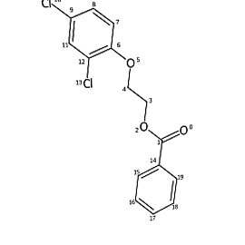 O=C(OCCOc1ccc(Cl)cc1Cl)c1ccccc1